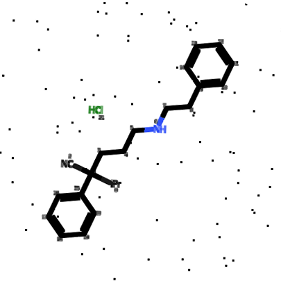 CC(C)C(C#N)(CCCNCCc1ccccc1)c1ccccc1.Cl